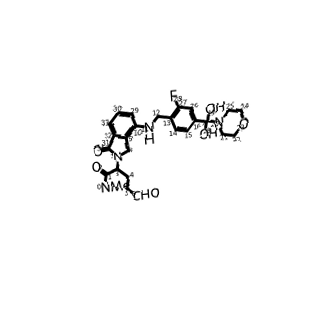 CNC(=O)C(CCC=O)N1Cc2c(NCc3ccc(C(O)(O)N4CCOCC4)cc3F)cccc2C1=O